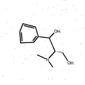 CN(C)[C@@H](CO)C(O)c1ccccc1